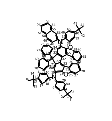 CC(C)(C)c1ccc(N(c2ccc(C(C)(C)C)cc2)c2cc3c(c4c2oc2ccccc24)-c2c(cc(N(c4ccc(C(C)(C)C)cc4)c4ccc5ccccc5c4)c4oc5ccccc5c24)C3(c2ccccc2)c2ccccc2)cc1